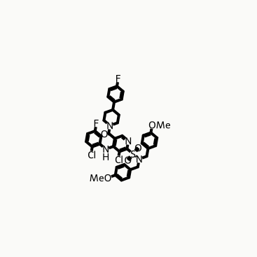 COc1ccc(CN(Cc2ccc(OC)cc2)S(=O)(=O)c2ncc(C(=O)N3CCC(c4ccc(F)cc4)CC3)c(Nc3cc(F)ccc3Cl)c2Cl)cc1